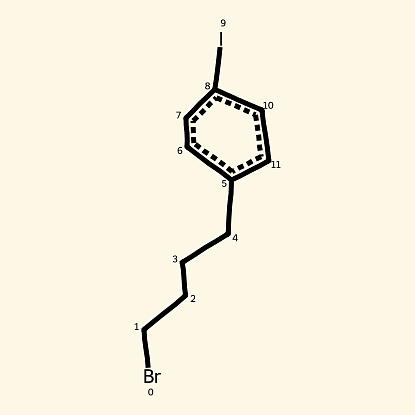 BrCCCCc1ccc(I)cc1